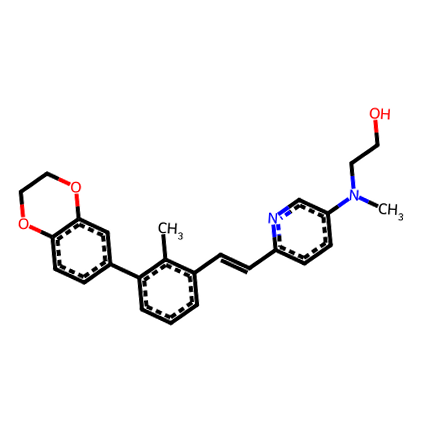 Cc1c(/C=C/c2ccc(N(C)CCO)cn2)cccc1-c1ccc2c(c1)OCCO2